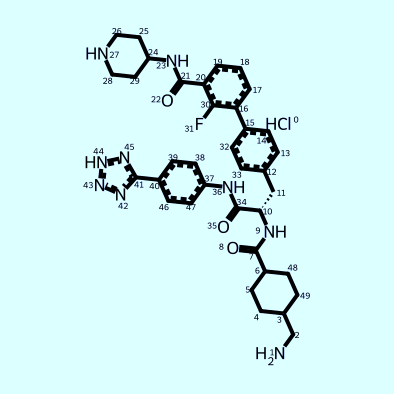 Cl.NCC1CCC(C(=O)N[C@@H](Cc2ccc(-c3cccc(C(=O)NC4CCNCC4)c3F)cc2)C(=O)Nc2ccc(-c3nn[nH]n3)cc2)CC1